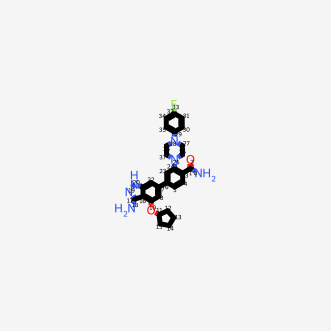 NC(=O)c1ccc(-c2cc(OC3CCCC3)c3c(N)n[nH]c3c2)cc1N1CCN(c2ccc(F)cc2)CC1